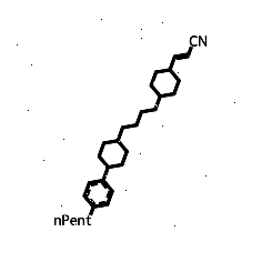 CCCCCc1ccc(C2CCC(CCCCC3CCC(C=CC#N)CC3)CC2)cc1